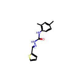 Cc1ccc(NC(=O)N/N=C/c2cccs2)c(C)c1